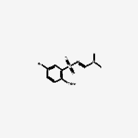 COc1ccc(Br)cc1S(=O)(=O)N=CN(C)C